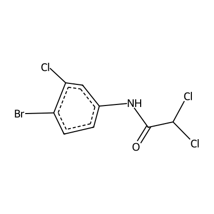 O=C(Nc1ccc(Br)c(Cl)c1)C(Cl)Cl